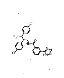 CC(c1ccc(Cl)cc1)C(CNC(=O)c1cccc(-c2nnn[nH]2)c1)c1ccc(Cl)cc1